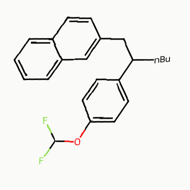 CCCCC(Cc1ccc2ccccc2c1)c1ccc(OC(F)F)cc1